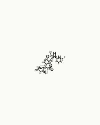 Cc1cccc(NC(=O)C(C)Oc2ccc3c(-c4ccc(F)cc4Cl)cc(=O)oc3c2)n1